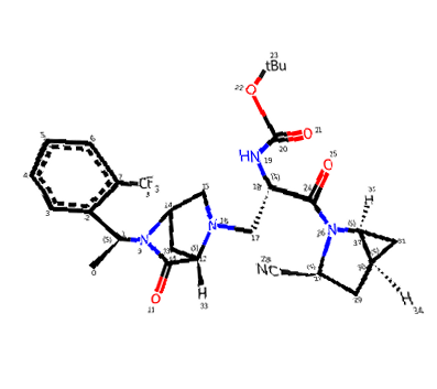 C[C@@H](c1ccccc1C(F)(F)F)N1C(=O)[C@@H]2CC1CN2C[C@H](NC(=O)OC(C)(C)C)C(=O)N1[C@H](C#N)C[C@@H]2C[C@@H]21